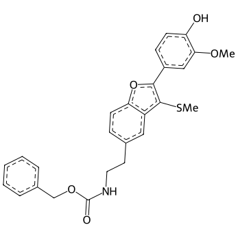 COc1cc(-c2oc3ccc(CCNC(=O)OCc4ccccc4)cc3c2SC)ccc1O